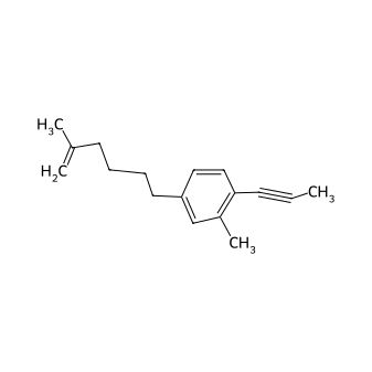 C=C(C)CCCCc1ccc(C#CC)c(C)c1